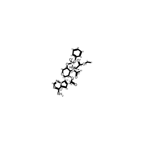 CCOC(=O)[C@H](C)N[P@@](=O)(Oc1ccccc1)OC1CO[C@@H](c2ccc3c(N)ncnn23)[C@H](OC(C)=O)C1OC(C)=O